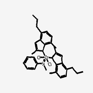 CCCc1ccc(C)c2c1C=C(C)[CH]2[Zr]([Cl])([Cl])([CH]1C(C)=Cc2c(CCC)ccc(C)c21)=[Si](C)c1ccccc1